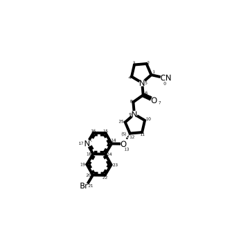 N#CC1CCCN1C(=O)CN1CC[C@H](Oc2ccnc3cc(Br)ccc23)C1